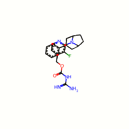 N=C(N)NC(=O)OCc1ccnc(N2C3CCC2CC(c2ccccc2)C3)c1F